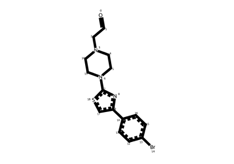 O=CCN1CCN(c2nc(-c3ccc(Br)cc3)cs2)CC1